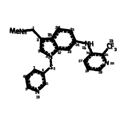 CNCc1cn(Sc2cccnc2)c2cc(Nc3cccnc3C(F)(F)F)ccc12